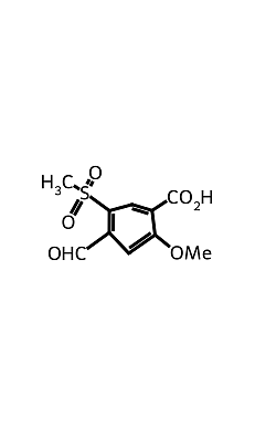 COc1cc(C=O)c(S(C)(=O)=O)cc1C(=O)O